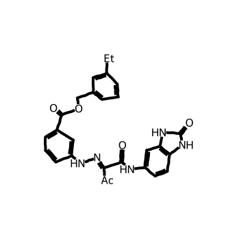 CCc1cccc(COC(=O)c2cccc(N/N=C(\C(C)=O)C(=O)Nc3ccc4[nH]c(=O)[nH]c4c3)c2)c1